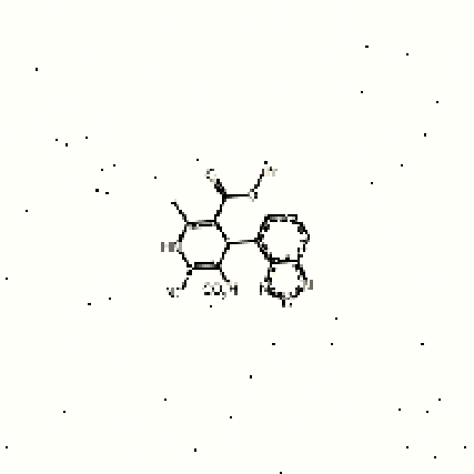 CC1=C(C(=O)OC(C)C)C(c2cccc3nonc23)C(C(=O)O)=C(C#N)N1